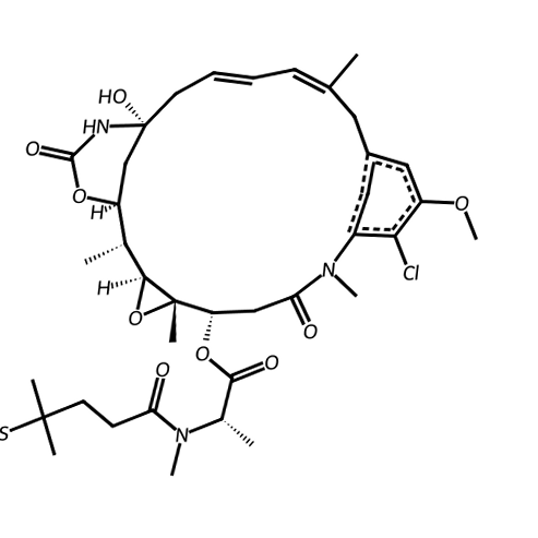 COc1cc2cc(c1Cl)N(C)C(=O)C[C@H](OC(=O)[C@H](C)N(C)C(=O)CCC(C)(C)S)[C@]1(C)O[C@H]1[C@H](C)[C@@H]1C[C@](O)(C/C=C/C=C(/C)C2)NC(=O)O1